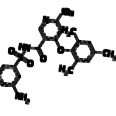 Cc1cc(C)c(Oc2cc(C(C)(C)C)ncc2C(=O)NS(=O)(=O)c2cccc(N)c2)c(C)c1